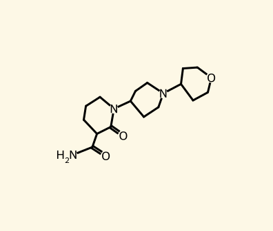 NC(=O)C1CCCN(C2CCN(C3CCOCC3)CC2)C1=O